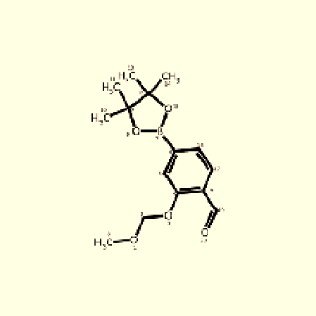 COCOc1cc(B2OC(C)(C)C(C)(C)O2)ccc1C=O